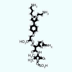 CC1(C)C(NC(=O)C(=NOC(COc2ccc(-c3cn(CCCN)[n+](CCN)c3)cc2)C(=O)O)c2csc(N)n2)C(=O)N1OS(=O)(=O)O